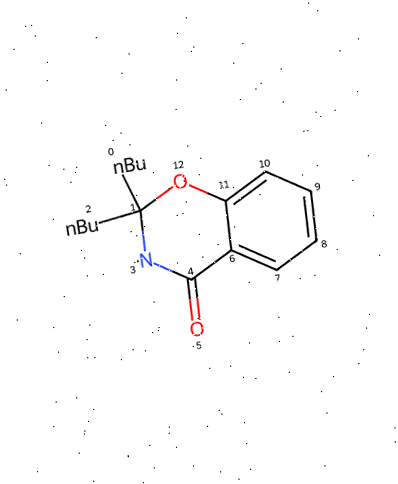 CCCCC1(CCCC)[N]C(=O)c2ccccc2O1